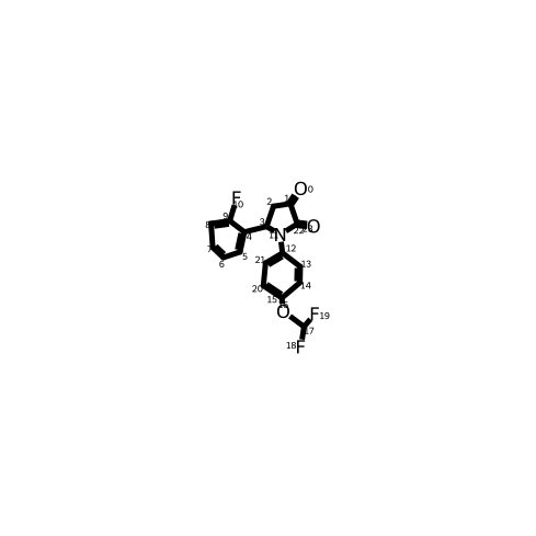 O=C1CC(c2ccccc2F)N(c2ccc(OC(F)F)cc2)C1=O